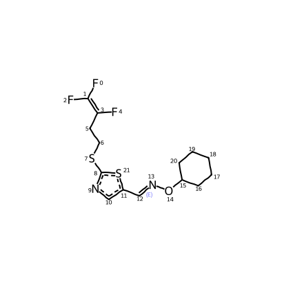 FC(F)=C(F)CCSc1ncc(/C=N/OC2CCCCC2)s1